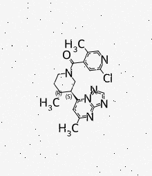 Cc1cc([C@@H]2CN(C(=O)c3cc(Cl)ncc3C)CC[C@H]2C)n2ncnc2n1